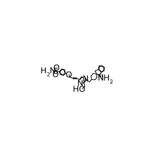 N[C@@H]1c2ccccc2CC12CCC(Cc1ncc(C#CCOc3ccc(S(N)(=O)=O)cc3)nc1CO)CC2